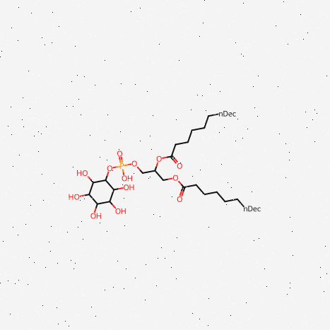 CCCCCCCCCCCCCCCC(=O)OCC(COP(=O)(O)OC1C(O)C(O)C(O)C(O)C1O)OC(=O)CCCCCCCCCCCCCCC